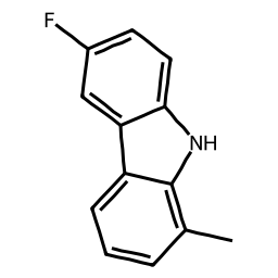 Cc1cccc2c1[nH]c1ccc(F)cc12